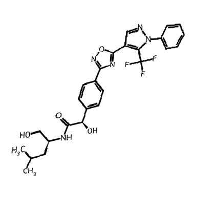 CC(C)C[C@@H](CO)NC(=O)[C@H](O)c1ccc(-c2noc(-c3cnn(-c4ccccc4)c3C(F)(F)F)n2)cc1